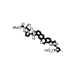 COC(=O)N[C@H](C(=O)N1[C@@H](C)CC[C@H]1c1nc2ccc3cc4c(cc3c2[nH]1)OCc1cc(-c2cnc([C@@H]3C[C@H](C)CN3C(=O)O)[nH]2)ccc1-4)C(C)C